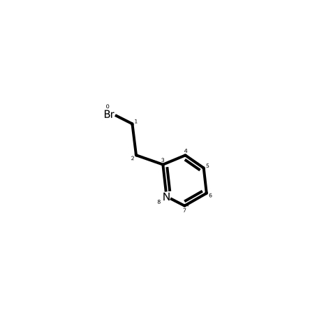 BrCCc1ccc[c]n1